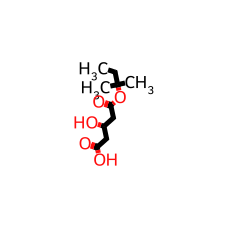 CCC(C)(C)OC(=O)CC(O)CC(=O)O